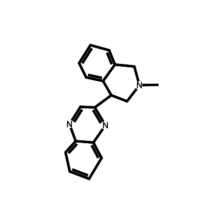 CN1Cc2ccccc2C(c2cnc3ccccc3n2)C1